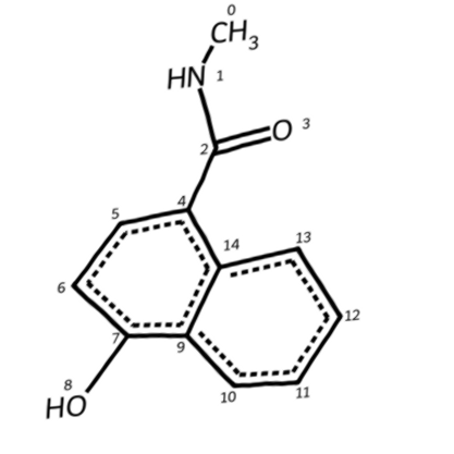 CNC(=O)c1ccc(O)c2ccccc12